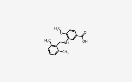 COc1ccc(C(=O)O)cc1NCc1c(C)cccc1C